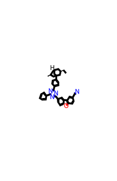 CC[C@@H]1C[C@@H]2C[C@H](C)CC(c3ccc(-c4nc(-c5ccccc5)nc(-c5ccc6oc7ccc(C#N)cc7c6c5)n4)cc3)(C1)C2